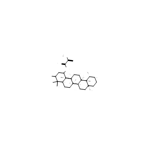 C=C(CCC)C(=O)OC1CC(S)C(C)(C)[C@@H]2CC[C@]3(C)[C@H](CC[C@@H]4[C@@H]5[C@@H](C)[C@H](C)CC[C@]5(C)CC[C@]43C)[C@@]12C